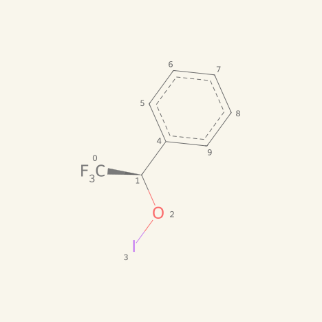 FC(F)(F)[C@H](OI)c1ccccc1